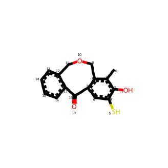 Cc1c(O)c(S)cc2c1COCc1ccccc1C2=O